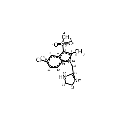 Cc1c(S(C)(=O)=O)c2cc(Cl)ccc2n1CC1=NCCN1